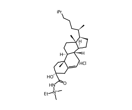 CC[N+](C)(C)NC(=O)[C@@]1(O)CC[C@@]2(C)C(=CC[C@H]3[C@@H]4CC[C@H]([C@H](C)CCCC(C)C)[C@@]4(C)CC[C@@H]32)C1.Cl